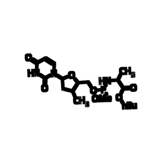 CCCCOC(=O)C(C)NP(OC)OCC1OC(n2ccc(=O)[nH]c2=O)CC1C